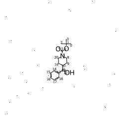 CC(C)(C)OC(=O)N1CCC([C@H](O)c2ccccc2)CC1